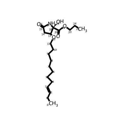 CCC=CCCCCCCCCOC1CC(=O)N[C@]1(O)C(=O)OCCC